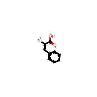 [2H]C(=Cc1ccccc1)C(=O)O